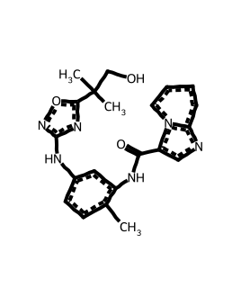 Cc1ccc(Nc2noc(C(C)(C)CO)n2)cc1NC(=O)c1cnc2ccccn12